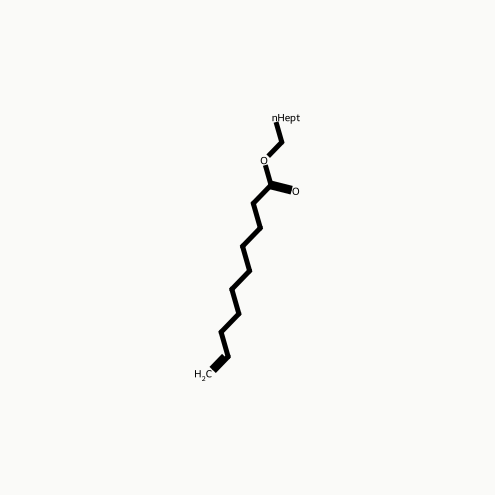 C=CCCCCCCCC(=O)OCCCCCCCC